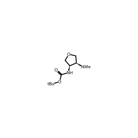 CN[C@@H]1COC[C@@H]1NC(=O)OC(C)(C)C